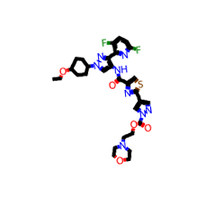 CCOC1CCC(n2cc(NC(=O)c3csc(-c4cnn(C(=O)OCCN5CCOCC5)c4)n3)c(-c3nc(F)ccc3F)n2)CC1